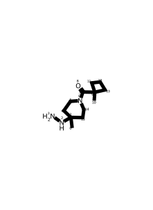 CC1(NN)CCN(C(=O)C2(C)CCC2)CC1